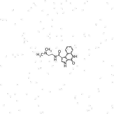 CN(C)CCNC(=O)c1c[nH]c2c(=O)[nH]c3ccccc3c12